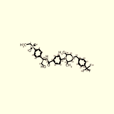 CCS(=O)(=O)c1ccc([C@H](CO)NC(=O)c2ccc(N3C(C)CN(Cc4ccc(C(F)(F)F)cc4)CC3C)cc2)cc1